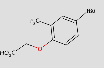 CC(C)(C)c1ccc(OCC(=O)O)c(C(F)(F)F)c1